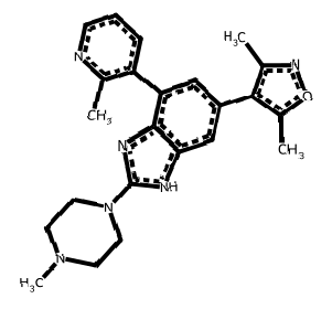 Cc1ncccc1-c1cc(-c2c(C)noc2C)cc2[nH]c(N3CCN(C)CC3)nc12